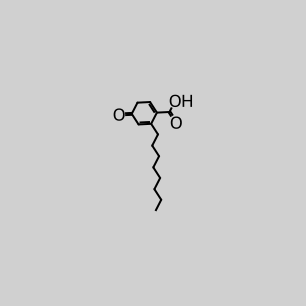 CCCCCCCCC1=CC(=O)CC=C1C(=O)O